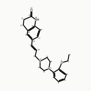 CCOc1ccccc1N1CCN(C/C=C/c2ccc3c(c2)CCC(=O)N3)CC1